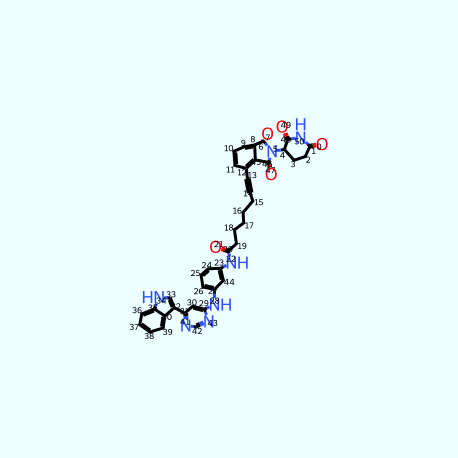 O=C1CCC(N2C(=O)c3cccc(C#CCCCCCC(=O)Nc4cccc(Nc5cc(-c6c[nH]c7ccccc67)ncn5)c4)c3C2=O)C(=O)N1